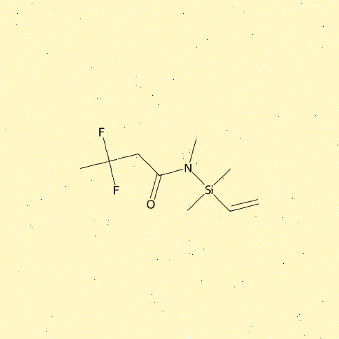 C=C[Si](C)(C)N(C)C(=O)CC(C)(F)F